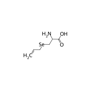 C=CC[Se]CC(N)C(=O)O